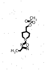 CCc1noc(N2CCC(COS(C)(=O)=O)CC2)n1